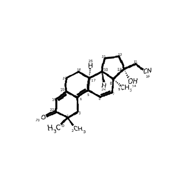 CC1(C)CC2=C3C=C[C@@]4(C)[C@@H](CC[C@@]4(O)CC#N)[C@@H]3CCC2=CC1=O